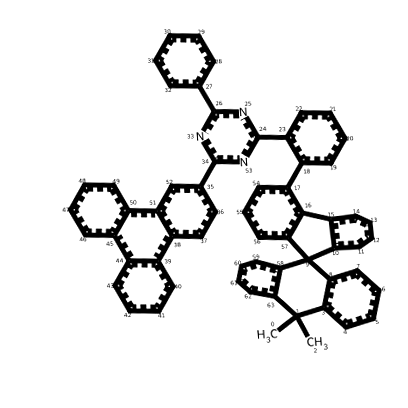 CC1(C)c2ccccc2C2(c3ccccc3-c3c(-c4ccccc4-c4nc(-c5ccccc5)nc(-c5ccc6c7ccccc7c7ccccc7c6c5)n4)cccc32)c2ccccc21